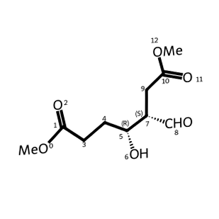 COC(=O)CC[C@@H](O)[C@@H](C=O)CC(=O)OC